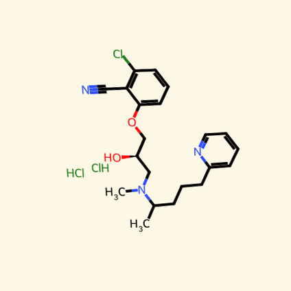 CC(CCCc1ccccn1)N(C)C[C@@H](O)COc1cccc(Cl)c1C#N.Cl.Cl